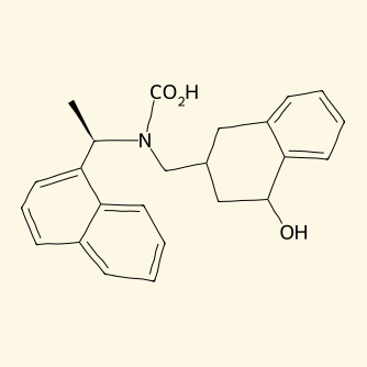 C[C@H](c1cccc2ccccc12)N(CC1Cc2ccccc2C(O)C1)C(=O)O